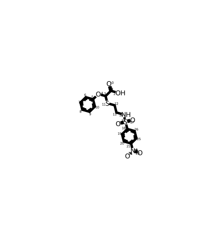 O=C(O)C(Oc1ccccc1)SCCNS(=O)(=O)c1ccc([N+](=O)[O-])cc1